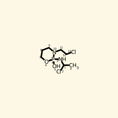 CC(Cl)N[P]1(O)OCCCN1CCCl